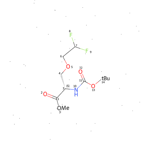 COC(=O)[C@H](COCC(F)F)NC(=O)OC(C)(C)C